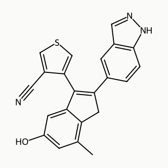 Cc1cc(O)cc2c1CC(c1ccc3[nH]ncc3c1)=C2c1cscc1C#N